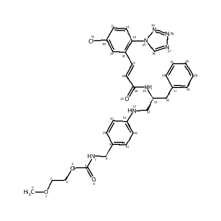 COCCOC(=O)NCc1ccc(NC[C@H](Cc2ccccc2)NC(=O)/C=C/c2cc(Cl)ccc2-n2cnnn2)cc1